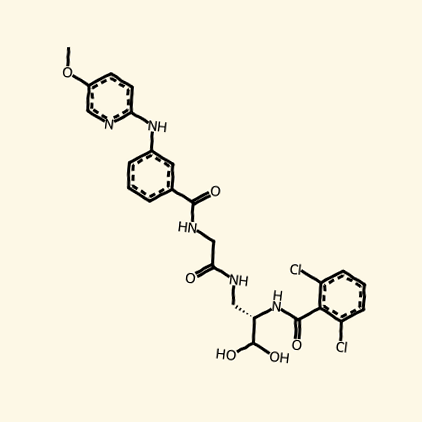 COc1ccc(Nc2cccc(C(=O)NCC(=O)NC[C@H](NC(=O)c3c(Cl)cccc3Cl)C(O)O)c2)nc1